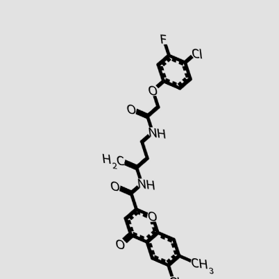 C=C(CCNC(=O)COc1ccc(Cl)c(F)c1)NC(=O)c1cc(=O)c2cc(Cl)c(C)cc2o1